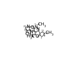 CCn1nc(-c2cccc(C)c2)c(C(C)=O)c(Nc2cnccc2C)c1=O